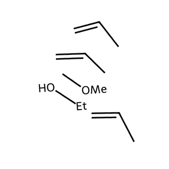 C=CC.C=CC.C=CC.CCO.COC